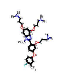 CCCCn1c(-c2ccc(Oc3ccc(F)c(C(F)(F)F)c3)cc2OCCCN(C)C)nc2c(OCCCN(CC)CC)cc(OCCCN(CC)CC)cc21